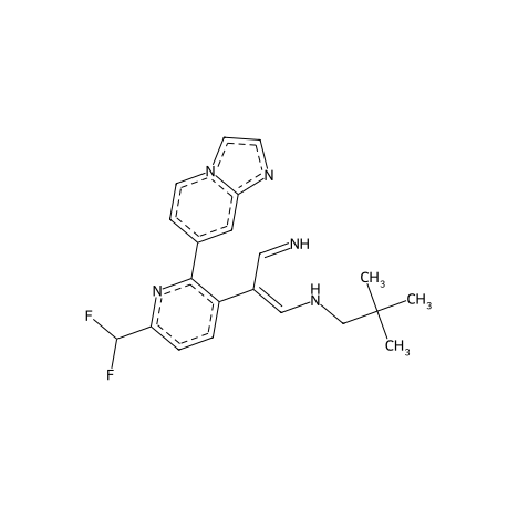 CC(C)(C)CN/C=C(\C=N)c1ccc(C(F)F)nc1-c1ccn2ccnc2c1